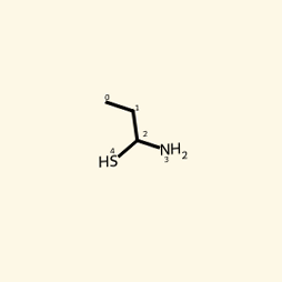 CCC(N)S